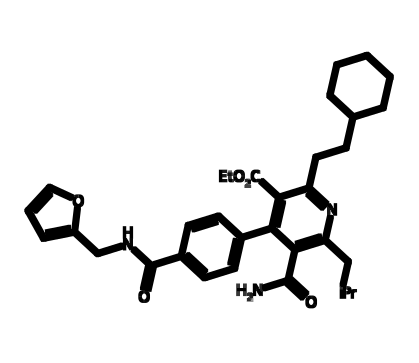 CCOC(=O)c1c(CCC2CCCCC2)nc(CC(C)C)c(C(N)=O)c1-c1ccc(C(=O)NCc2ccco2)cc1